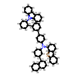 c1cc(-c2ccc(N(c3cccc(-c4cccc5ccccc45)c3)c3cccc4c3sc3ccccc34)cc2)cc(-c2ccccc2-n2c3ccccc3c3ccccc32)c1